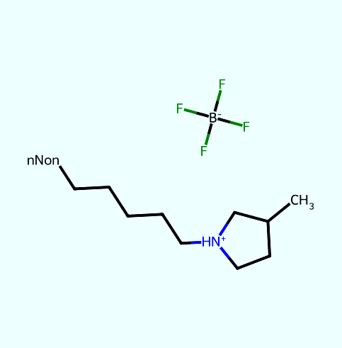 CCCCCCCCCCCCCC[NH+]1CCC(C)C1.F[B-](F)(F)F